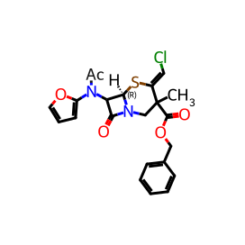 CC(=O)N(c1ccco1)C1C(=O)N2CC(C)(C(=O)OCc3ccccc3)C(=CCl)S[C@H]12